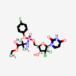 CCOC(=O)C(C)(C)NP(=O)(OC[C@H]1O[C@@H](n2ccc(=O)[nH]c2=O)[C@](Cl)(Br)[C@@H]1O)Oc1ccc(F)cc1